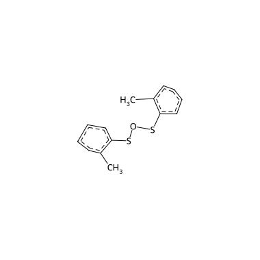 Cc1ccccc1SOSc1ccccc1C